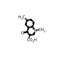 Cc1ccc2c(c1)c(=O)c(C(=O)O)cn2C